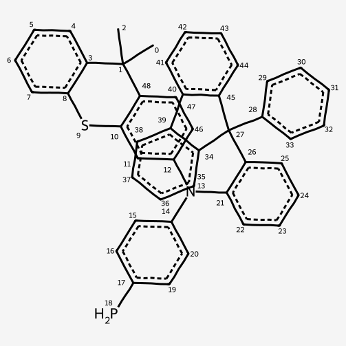 CC1(C)c2ccccc2Sc2cc(N(c3ccc(P)cc3)c3ccccc3C3(c4ccccc4)c4ccccc4-c4ccccc43)ccc21